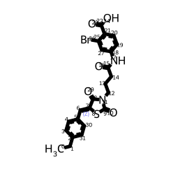 CCc1ccc(/C=C2\SC(=O)N(CCCC(=O)Nc3ccc(C(=O)O)c(Br)c3)C2=O)cc1